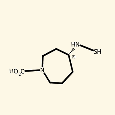 O=C(O)N1CCC[C@@H](NS)CC1